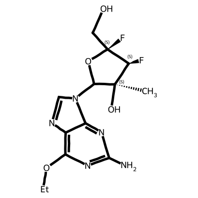 CCOc1nc(N)nc2c1ncn2C1O[C@](F)(CO)[C@@H](F)[C@@]1(C)O